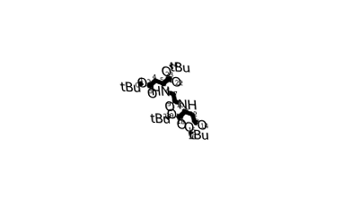 CC(C)(C)OC(=O)CC(NCC(=O)NC(CC(=O)OC(C)(C)C)C(=O)OC(C)(C)C)C(=O)OC(C)(C)C